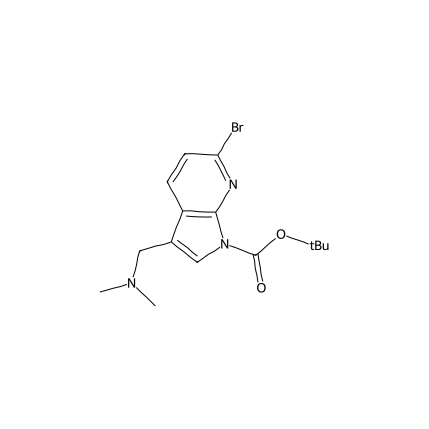 CN(C)Cc1cn(C(=O)OC(C)(C)C)c2nc(Br)ccc12